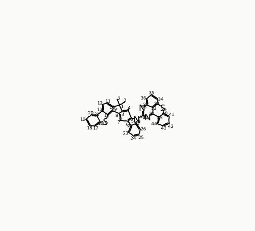 CC1(C)c2cc3c(cc2-c2c1ccc1c2sc2ccccc21)c1ccccc1n3-c1nc2c3c(cccc3n1)Sc1ccccc1-2